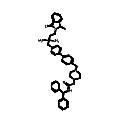 C[N+](C)(CCN1C(=O)c2ccccc2C1=O)Cc1ccc(-c2ccc(CN3CCC(OC(=O)NC(c4ccccc4)c4ccccc4)CC3)cc2)cc1